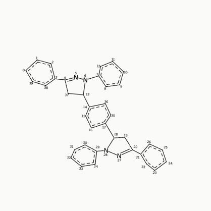 c1ccc(C2=NN(c3ccccc3)C(c3ccc(C4CC(c5ccccc5)=NN4c4ccccc4)cc3)C2)cc1